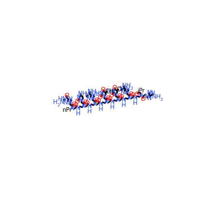 CCCN(CC(=O)NCCN(CC(=O)NCCN(CC(=O)NCCN(CC(=O)NCCN(CC(=O)NCCN(CC(=O)NCCN(CC(=O)C(C)C)C(=O)Cn1cnc2c(N)ncnc21)C(=O)Cn1cnc2c(N)ncnc21)C(=O)Cn1cc(C)c(=O)[nH]c1=O)C(=O)Cn1cc(C)c(=O)[nH]c1=O)C(=O)Cn1cnc2c(N)ncnc21)C(=O)Cn1ccc(N)nc1=O)C(=O)Cn1cnc2c(=O)[nH]c(N)nc21